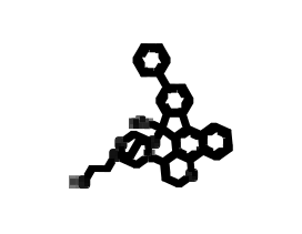 CCCCC1(OCCOCCO)c2cc(-c3ccccc3)ccc2-c2c1c1c(c3ccccc23)OCC=C1N1CCOCC1